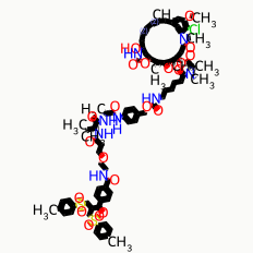 COc1cc2cc(c1Cl)N(C)C(=O)C[C@@H](OC(=O)[C@H](C)N(C)C(=O)CCCCCNC(=O)OCc1ccc(NC(=O)[C@H](C)NC(=O)[C@H](NC(=O)CCOCCNC(=O)c3ccc(C(=O)C(CS(=O)(=O)c4ccc(C)cc4)CS(=O)(=O)c4ccc(C)cc4)cc3)C(C)C)cc1)[C@@]1(C)OC1[C@H](C)C1CC(O)(C/C=C\C=C(\C)C2)NC(=O)O1